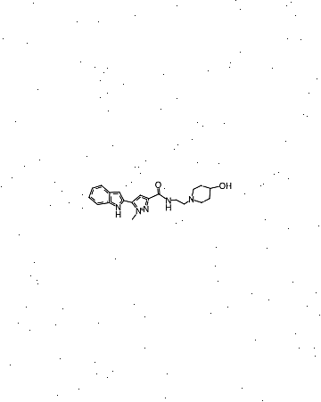 Cn1nc(C(=O)NCCN2CCC(O)CC2)cc1-c1cc2ccccc2[nH]1